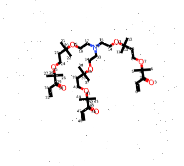 C=CC(=O)C(C)(C)OCCC(C)(C)OCCN(CCOC(C)(C)CCOC(C)(C)C(=O)C=C)CCOC(C)(C)CCOC(C)(C)C(=O)C=C